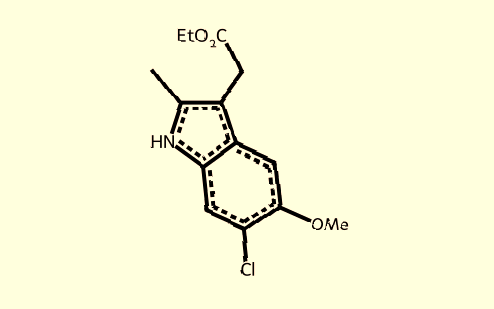 CCOC(=O)Cc1c(C)[nH]c2cc(Cl)c(OC)cc12